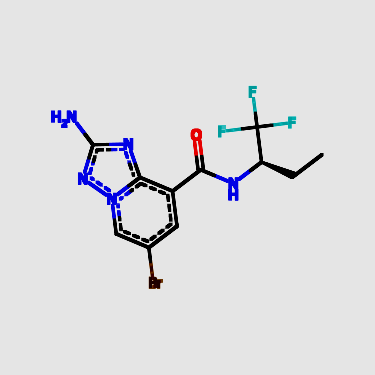 CC[C@@H](NC(=O)c1cc(Br)cn2nc(N)nc12)C(F)(F)F